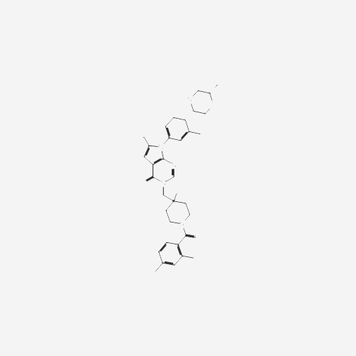 CC1=CC(n2c(Cl)cc3c(=O)n(CC4(O)CCN(C(=O)c5ccc(C)cc5C)CC4)cnc32)=CCC1[C@H]1CO[C@H](C)CN1